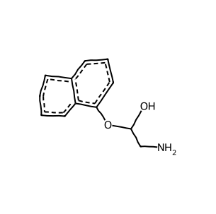 NCC(O)Oc1cccc2ccccc12